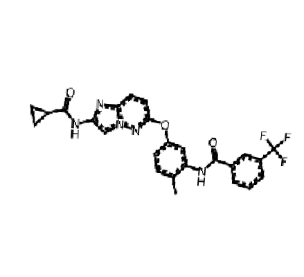 Cc1ccc(Oc2ccc3nc(NC(=O)C4CC4)cn3n2)cc1NC(=O)c1cccc(C(F)(F)F)c1